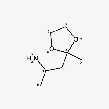 CC(N)CC1(C)OCCO1